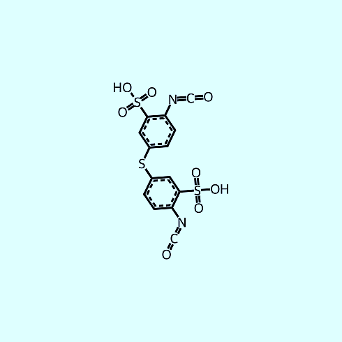 O=C=Nc1ccc(Sc2ccc(N=C=O)c(S(=O)(=O)O)c2)cc1S(=O)(=O)O